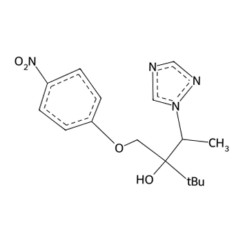 CC(n1cncn1)C(O)(COc1ccc([N+](=O)[O-])cc1)C(C)(C)C